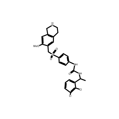 COc1cc2c(cc1CS(=O)(=O)c1ccc(NC(=O)NC(C)c3cccc(Cl)c3Cl)cc1)CCNC2